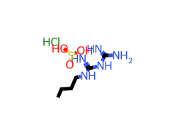 CCCCNC(=N)NC(=N)N.Cl.O=S(O)O